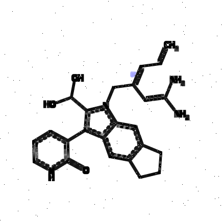 C=C/C=C(\C=C(N)N)Cn1c(C(O)O)c(-c2ccc[nH]c2=O)c2cc3c(cc21)CCC3